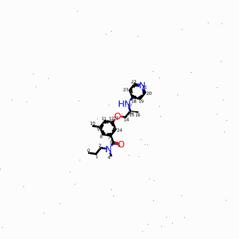 CCCN(C)C(=O)c1cc(C)cc(OC[C@H](C)Nc2ccncc2)c1